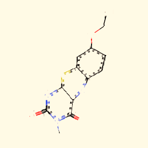 CCOc1ccc2nc3c(=O)n(C)c(=O)nc-3sc2c1